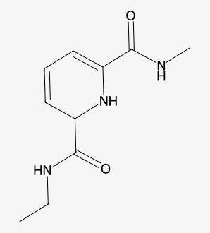 CCNC(=O)C1C=CC=C(C(=O)NC)N1